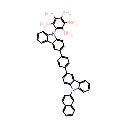 Bc1c(B)c(B)c(-n2c3ccccc3c3cc(-c4ccc(-c5ccc6c(c5)c5ccccc5n6-c5ccc6ccccc6c5)cc4)ccc32)c(B)c1B